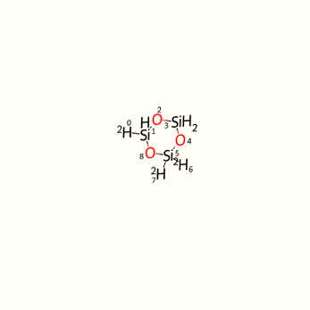 [2H][SiH]1O[SiH2]O[Si]([2H])([2H])O1